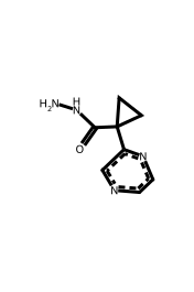 NNC(=O)C1(c2cnccn2)CC1